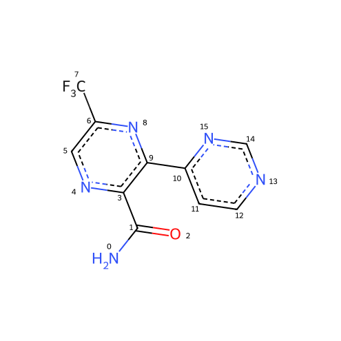 NC(=O)c1ncc(C(F)(F)F)nc1-c1ccncn1